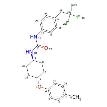 Cc1ccc(O[C@H]2CC[C@H](NC(=O)Nc3ccc(CC(F)(F)F)cc3)CC2)cc1